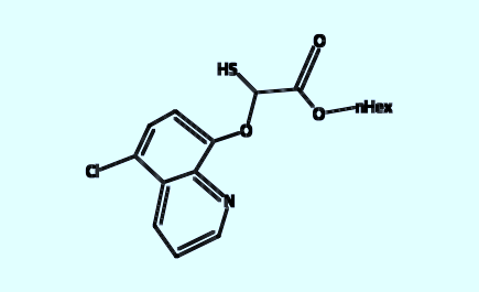 CCCCCCOC(=O)C(S)Oc1ccc(Cl)c2cccnc12